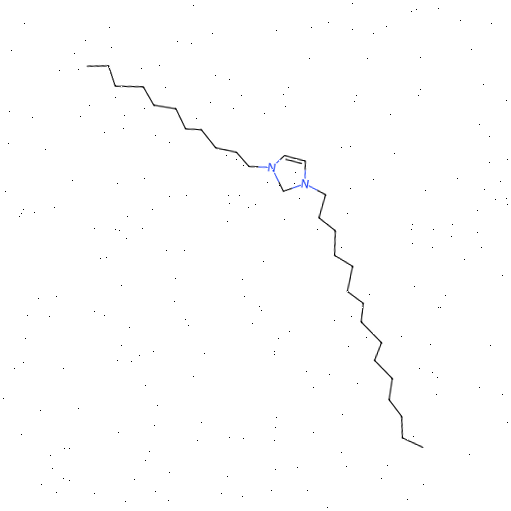 CCCCCCCCCCCCCCCN1C=CN(CCCCCCCCCCC)C1